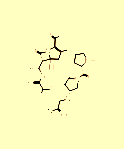 C[C@@H](NC(=O)C(F)F)[C@H]1C(=O)N2C(C(=O)O)=C(S[C@@H]3CN[C@H](C(=O)N4CC[C@@H](NCC(N)=O)C4)C3)[C@H](C)[C@H]12